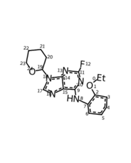 CCOc1ccccc1Nc1nc(F)nc2c1ncn2C1CCCCO1